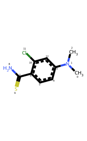 CN(C)c1ccc(C(N)=S)c(Cl)c1